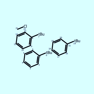 CC(C)(C)c1ccccc1.CC(C)(C)c1ccccc1.CC(C)(C)c1ccccc1.CCl